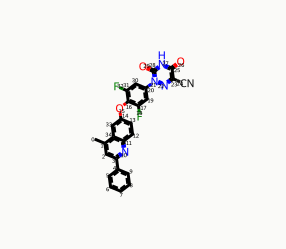 Cc1cc(-c2ccccc2)nc2ccc(Oc3c(F)cc(-n4nc(C#N)c(=O)[nH]c4=O)cc3F)cc12